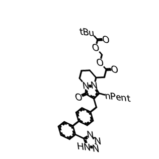 CCCCCc1c(Cc2ccc(-c3ccccc3-c3nnn[nH]3)cc2)c(=O)n2n1C(CC(=O)OCOC(=O)C(C)(C)C)CCC2